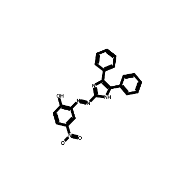 O=[N+]([O-])c1ccc(O)c(N=Nc2nc(-c3ccccc3)c(-c3ccccc3)[nH]2)c1